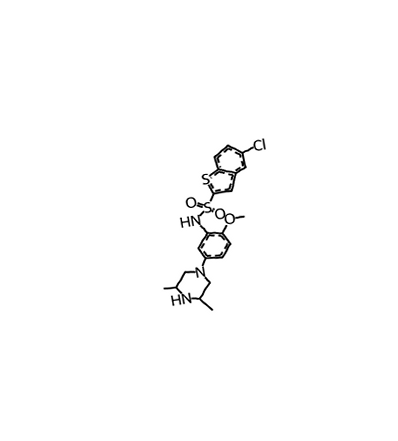 COc1ccc(N2CC(C)NC(C)C2)cc1NS(=O)(=O)c1cc2cc(Cl)ccc2s1